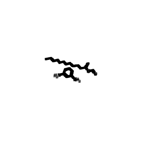 CCCCCCCCCCCC(=O)OC=O.Nc1cccc(N)c1